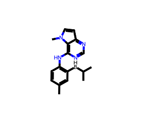 Cc1ccc(Nc2ncnc3ccn(C)c23)c(BC(C)C)c1